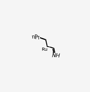 CCCCCC=N.[Ru]